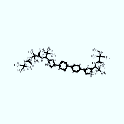 CNC(C)(C)C(=O)NC(c1nc(-c2ccc(-c3ccc(-c4c[nH]c(C(NC(=O)C(C)(C)NC(=O)OC(C)(C)C)C(C)(C)C)n4)cc3)cc2)c[nH]1)C(C)(C)C